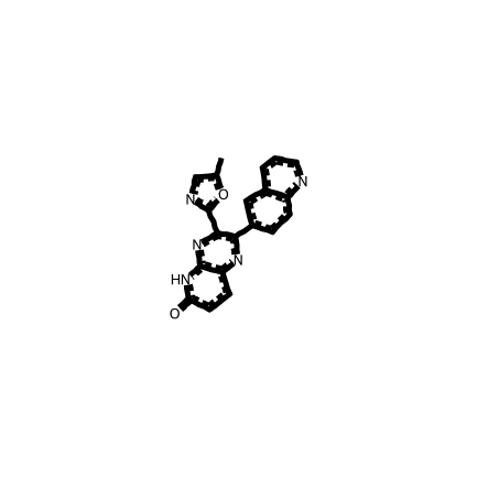 Cc1cnc(-c2nc3[nH]c(=O)ccc3nc2-c2ccc3ncccc3c2)o1